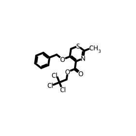 CC1=NC(C(=O)OCC(Cl)(Cl)Cl)=C(OCc2ccccc2)CS1